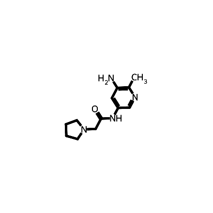 Cc1ncc(NC(=O)CN2CCCC2)cc1N